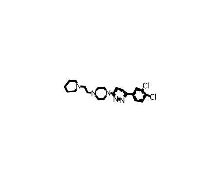 Clc1ccc(-c2ccc(N3CCN(CCN4CCCCC4)CC3)nn2)cc1Cl